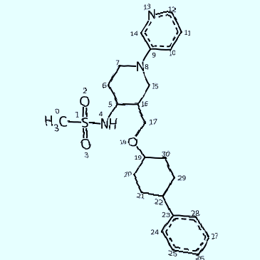 CS(=O)(=O)NC1CCN(c2cccnc2)CC1COC1CCC(c2ccccc2)CC1